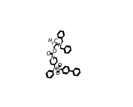 C[C@@H](COC(=O)N1CCC(N(c2ccccc2)S(=O)(=O)c2ccc(-c3ccccc3)cc2)CC1)N(Cc1ccccc1)Cc1ccccc1